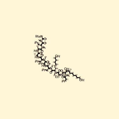 CC[C@H](NC(=O)C([C@H](O)[C@H](C)CCCCCCO)N(C)C(=O)CC(C)C)C(=O)N(C)[C@H](CSCCCCO)C(=O)N(C)[C@@H](CC(C)C)C(=O)N[C@H](C(=O)N(C)[C@@H](CC(C)C)C(=O)N[C@H](C)C(=O)N[C@@H](C)C(=O)N(C)[C@@H](CC(C)C)C(=O)N(C)C(=O)NC)C(C)C